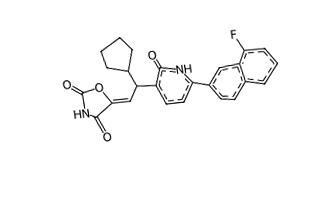 O=C1NC(=O)C(=CC(c2ccc(-c3ccc4cccc(F)c4c3)[nH]c2=O)C2CCCC2)O1